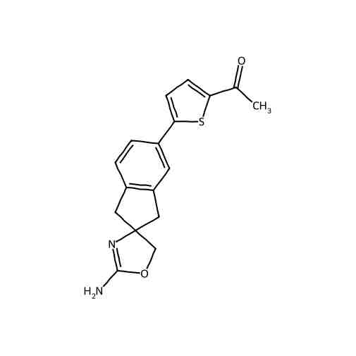 CC(=O)c1ccc(-c2ccc3c(c2)CC2(COC(N)=N2)C3)s1